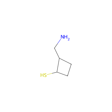 NCC1CCC1S